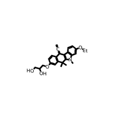 C=C=C1c2ccc(OCC(O)CO)cc2C(C)(C)c2c1c1ccc(OCC)cc1n2C